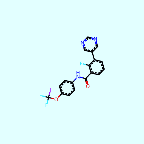 O=C(Nc1ccc(OC(F)(F)I)cc1)c1cccc(-c2cncnc2)c1F